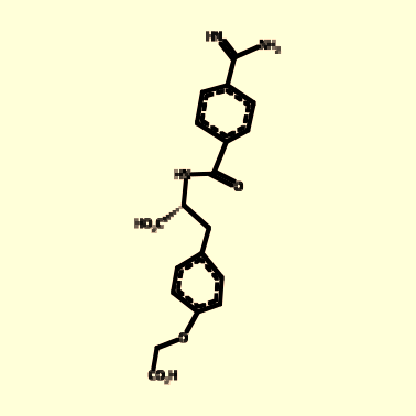 N=C(N)c1ccc(C(=O)N[C@H](Cc2ccc(OCC(=O)O)cc2)C(=O)O)cc1